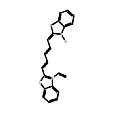 C=C[n+]1c(/C=C/C=C/C=C2/Sc3ccccc3N2CC)sc2ccccc21